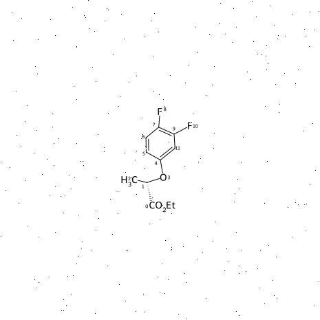 CCOC(=O)[C@H](C)Oc1ccc(F)c(F)c1